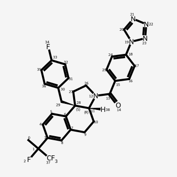 CC(F)(c1ccc2c(c1)CC[C@H]1N(C(=O)c3ccc(-n4cnnn4)cc3)CC[C@@]21Cc1ccc(F)cc1)C(F)(F)F